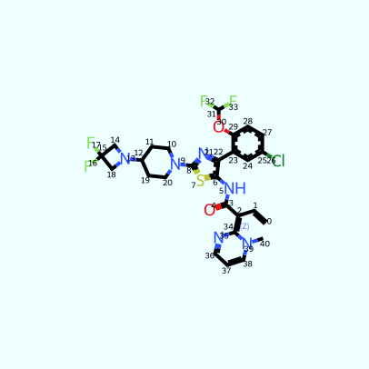 C=C/C(C(=O)Nc1sc(N2CCC(N3CC(F)(F)C3)CC2)nc1-c1cc(Cl)ccc1OC(F)F)=C1/N=CC=CN1C